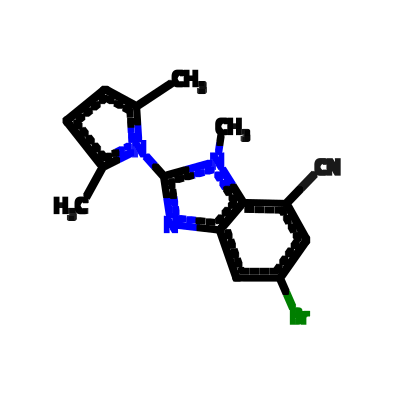 Cc1ccc(C)n1-c1nc2cc(Br)cc(C#N)c2n1C